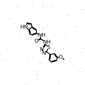 COc1cccc(-c2nnc(NC(=O)Nc3ccc4[nH]ccc4c3)s2)c1